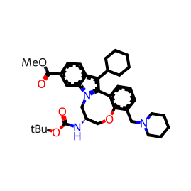 COC(=O)c1ccc2c(C3CCCCC3)c3n(c2c1)C[C@@H](NC(=O)OC(C)(C)C)COc1c(CN2CCCCC2)cccc1-3